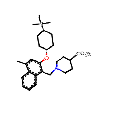 CCOC(=O)C1CCN(Cc2c(O[C@H]3CC[C@H]([Si](C)(C)C)CC3)cc(C)c3ccccc23)CC1